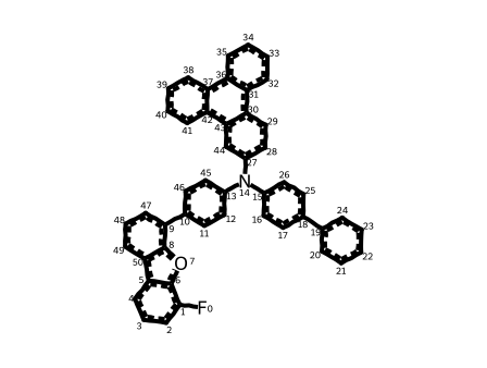 Fc1cccc2c1oc1c(-c3ccc(N(c4ccc(-c5ccccc5)cc4)c4ccc5c6ccccc6c6ccccc6c5c4)cc3)cccc12